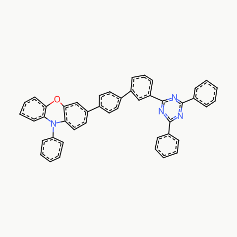 c1ccc(-c2nc(-c3ccccc3)nc(-c3cccc(-c4ccc(-c5ccc6c(c5)Oc5ccccc5N6c5ccccc5)cc4)c3)n2)cc1